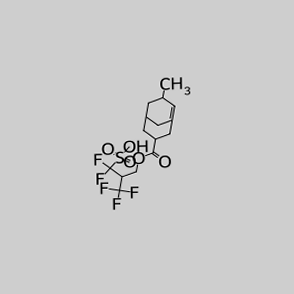 CC1C=C2CC(C1)CC(C(=O)OCC(C(F)(F)F)C(F)(F)S(=O)(=O)O)C2